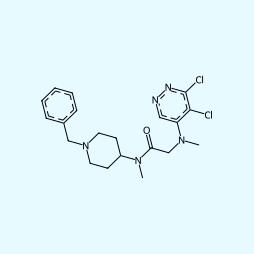 CN(CC(=O)N(C)C1CCN(Cc2ccccc2)CC1)c1cnnc(Cl)c1Cl